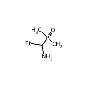 CCC(N)P(C)(C)=O